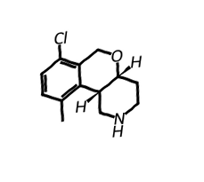 Cc1ccc(Cl)c2c1[C@H]1CNCC[C@H]1OC2